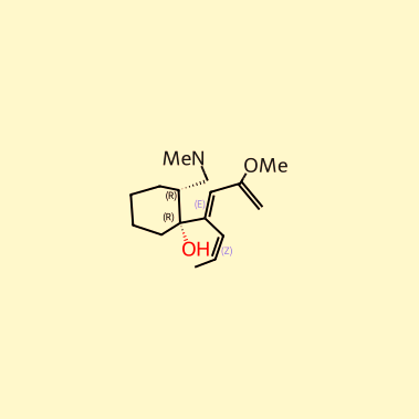 C=C(/C=C(\C=C/C)[C@@]1(O)CCCC[C@@H]1CNC)OC